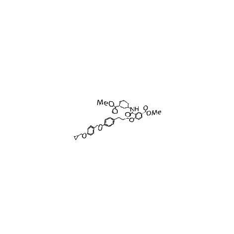 COC(=O)c1ccc(OCCCc2ccc(OCc3ccc(OCC4CC4)cc3)cc2)c(C(=O)NC2CCCC(C(=O)OC)C2)c1